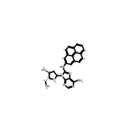 Nc1ncnc2c1nc(Nc1cc3ccc4cccc5ccc(c1)c3c45)n2C1C[C@H](O)[C@@H](CO)O1